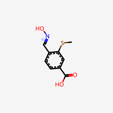 CSc1cc(C(=O)O)ccc1/C=N/O